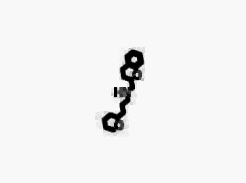 c1ccc2c(c1)CCC(CNCCCC1CCCCO1)O2